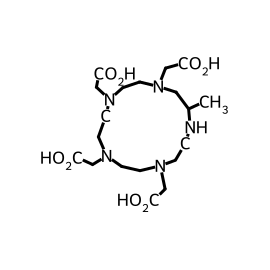 CC1CN(CC(=O)O)CCN(CC(=O)O)CCN(CC(=O)O)CCN(CC(=O)O)CCN1